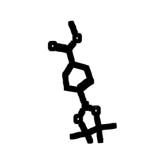 COC(=O)C1CC=C(B2OC(C)(C)C(C)(C)O2)CC1